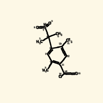 Cc1cc(C(C)(C)[SH](=O)=O)c(C(F)(F)F)cc1C(=O)Cl